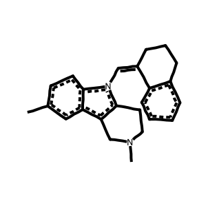 Cc1ccc2c(c1)c1c(n2/C=C2/CCCc3ccccc32)CCN(C)C1